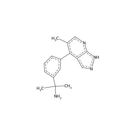 Cc1cnc2[nH]ncc2c1-c1cccc(C(C)(C)N)c1